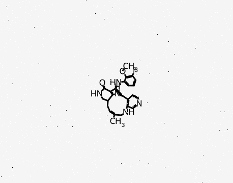 COc1c(F)cccc1Nc1c2[nH]c3c1C(=O)NCC3CC=C(C)CNc1cnccc1-2